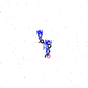 C=CC(=O)N1CCN(c2ccc3ncnc(Nc4ccc(CN5CCn6ncnc6C5)c(C)c4)c3c2)CC1